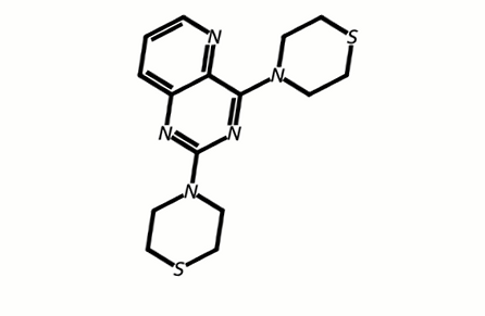 c1cnc2c(N3CCSCC3)nc(N3CCSCC3)nc2c1